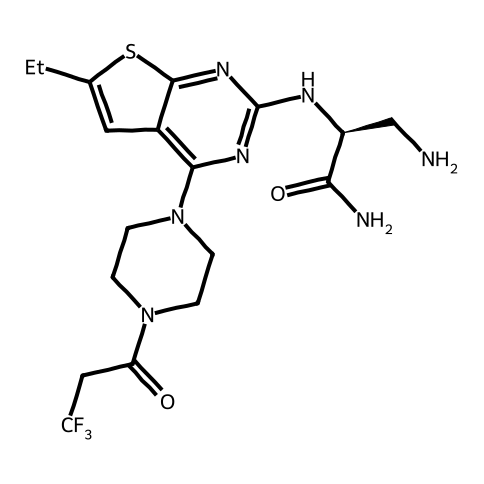 CCc1cc2c(N3CCN(C(=O)CC(F)(F)F)CC3)nc(N[C@@H](CN)C(N)=O)nc2s1